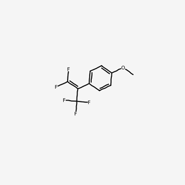 COc1ccc(C(=C(F)F)C(F)(F)F)cc1